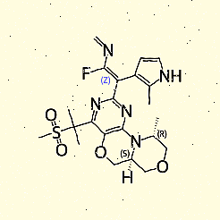 C=N/C(F)=C(/c1nc2c(c(C(C)(C)S(C)(=O)=O)n1)OC[C@@H]1COC[C@@H](C)N21)c1cc[nH]c1C